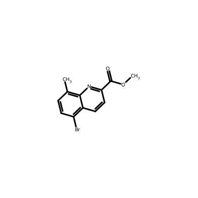 COC(=O)c1ccc2c(Br)ccc(C)c2n1